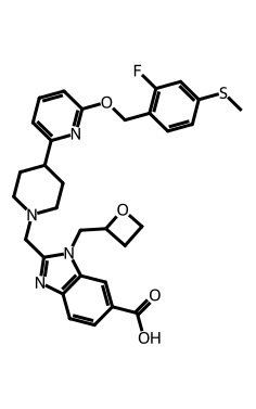 CSc1ccc(COc2cccc(C3CCN(Cc4nc5ccc(C(=O)O)cc5n4CC4CCO4)CC3)n2)c(F)c1